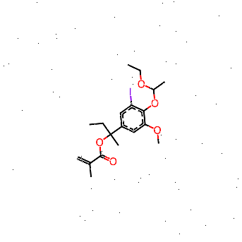 C=C(C)C(=O)OC(C)(CC)c1cc(I)c(OC(C)OCC)c(OC)c1